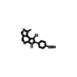 CCc1c(-c2ccc(OC)cc2)[nH]c2ncc3cnn(C)c3c12